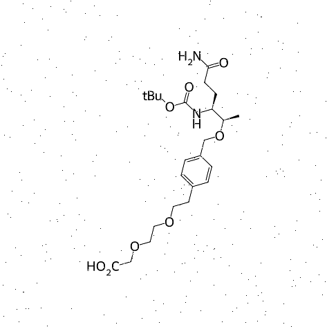 C[C@@H](OCc1ccc(CCOCCOCC(=O)O)cc1)[C@H](CCC(N)=O)NC(=O)OC(C)(C)C